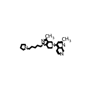 Cc1cc(N2CCc3c(c(C)nn3CCCCCN3CCCC3)C2)c2ccncc2n1